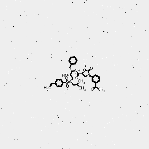 C=Cc1ccc(S(=O)(=O)N(CC(C)C)C[C@@H](O)[C@H](Cc2ccccc2)NC(=O)[C@@H]2CN(c3cccc(C(C)=O)c3)C(=O)O2)cc1